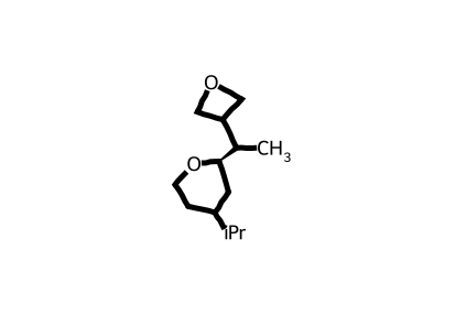 CC(C)C1CCO[C@@H](C(C)C2COC2)C1